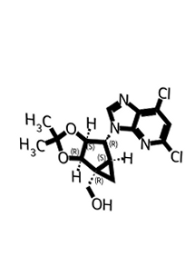 CC1(C)O[C@H]2[C@H](n3cnc4c(Cl)cc(Cl)nc43)[C@H]3C[C@@]3(CO)[C@H]2O1